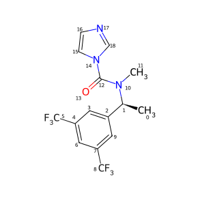 C[C@@H](c1cc(C(F)(F)F)cc(C(F)(F)F)c1)N(C)C(=O)n1ccnc1